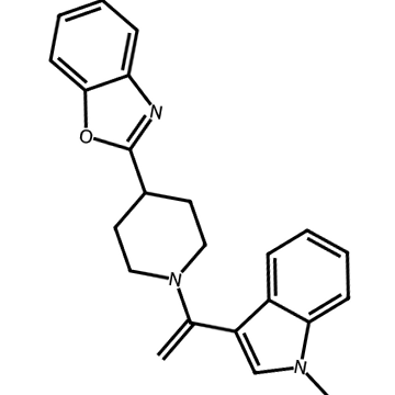 C=C(c1cn(C)c2ccccc12)N1CCC(c2nc3ccccc3o2)CC1